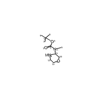 CN(C(=O)OC(C)(C)C)C1COCCN1